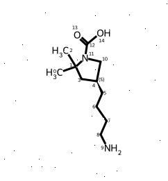 CC1(C)C[C@H](CCCCN)CN1C(=O)O